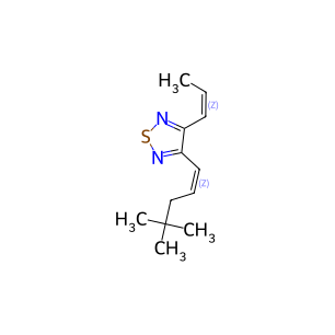 C/C=C\c1nsnc1/C=C\CC(C)(C)C